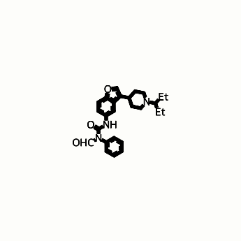 CCC(CC)N1CCC(c2coc3ccc(NC(=O)N(C=O)c4ccccc4)cc23)CC1